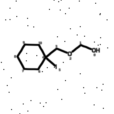 OCOCC1(I)CCCCC1